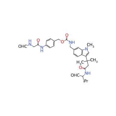 CC(C)C(C=O)NC(=O)CC(C)(C)c1cn(C)c2cc(CNC(=O)OCc3ccc(NC(=O)CNC=O)cc3)ccc12